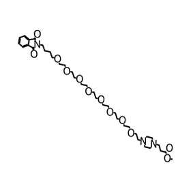 COC(=O)CCN1CCN(CCOCCOCCOCCOCCOCCOCCOCCOCCCCN2C(=O)c3ccccc3C2=O)CC1